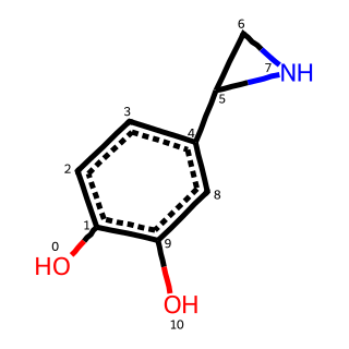 Oc1ccc(C2CN2)cc1O